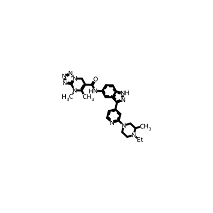 CCN1CCN(c2cc(-c3n[nH]c4ccc(NC(=O)C5=C(C)N(C)c6nnnn6C5)cc34)ccn2)CC1C